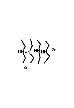 CCNCC.CCNCC.CCNCC.CCNCC.[Zr].[Zr]